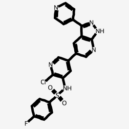 O=S(=O)(Nc1cc(-c2cnc3[nH]nc(-c4ccncc4)c3c2)cnc1Cl)c1ccc(F)cc1